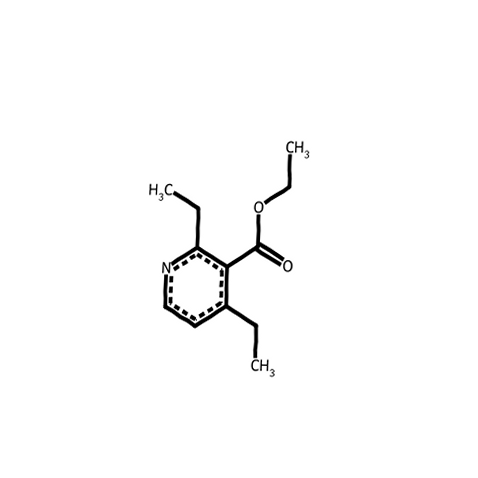 CCOC(=O)c1c(CC)ccnc1CC